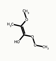 COOC(O)=C(C)OC